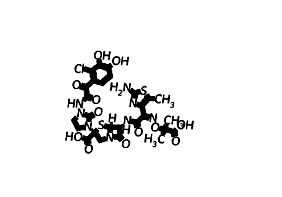 Cc1sc(N)nc1/C(=N/OC(C)(C)C(=O)O)C(=O)N[C@@H]1C(=O)N2C[C@@](C(=O)O)(N3CCN(NC(=O)C(=O)c4ccc(O)c(O)c4Cl)C3=O)S[C@H]12